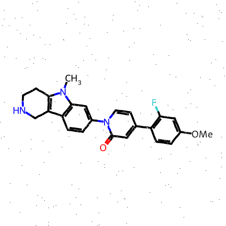 COc1ccc(-c2ccn(-c3ccc4c5c(n(C)c4c3)CCNC5)c(=O)c2)c(F)c1